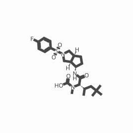 CC(CC(C)(C)C)[C@@H](C(=O)N[C@H]1CC[C@@H]2CN(S(=O)(=O)c3ccc(F)cc3)C[C@@H]21)N(C)C(=O)O